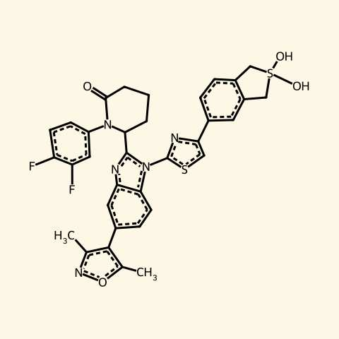 Cc1noc(C)c1-c1ccc2c(c1)nc(C1CCCC(=O)N1c1ccc(F)c(F)c1)n2-c1nc(-c2ccc3c(c2)CS(O)(O)C3)cs1